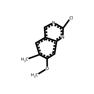 COc1cc2nc(Cl)ncc2cc1C